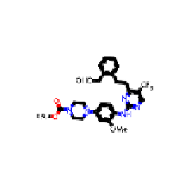 COc1cc(N2CCN(C(=O)OC(C)(C)C)CC2)ccc1Nc1ncc(C(F)(F)F)c(CCc2ccccc2CC=O)n1